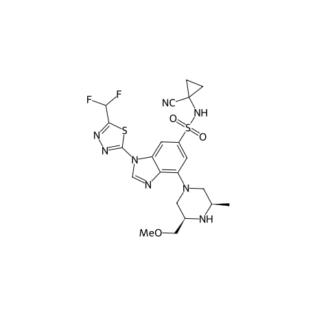 COC[C@H]1CN(c2cc(S(=O)(=O)NC3(C#N)CC3)cc3c2ncn3-c2nnc(C(F)F)s2)C[C@@H](C)N1